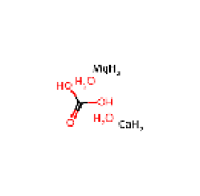 O.O.O=C(O)O.[CaH2].[MgH2]